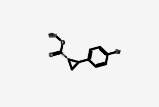 CC(C)(C)OC(=O)[C@H]1CC1c1ccc(Br)cc1